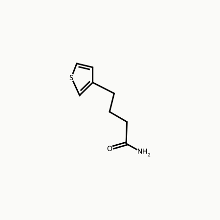 NC(=O)CCCc1ccsc1